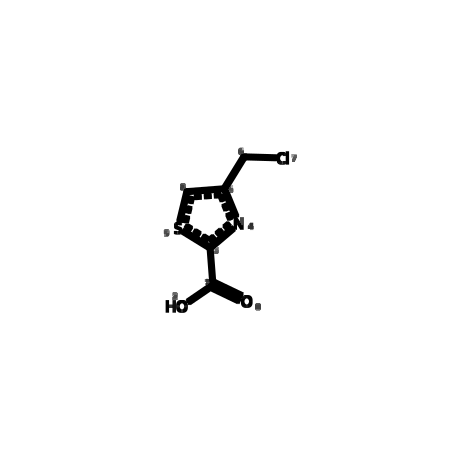 O=C(O)c1nc(CCl)cs1